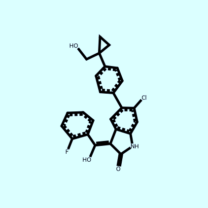 O=C1Nc2cc(Cl)c(-c3ccc(C4(CO)CC4)cc3)cc2/C1=C(/O)c1ccccc1F